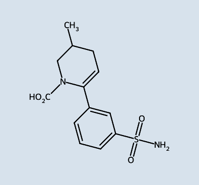 CC1CC=C(c2cccc(S(N)(=O)=O)c2)N(C(=O)O)C1